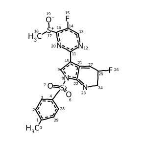 Cc1ccc(S(=O)(=O)n2cc(-c3ncc(F)c([S+](C)[O-])n3)c3c2=NCC(F)C=3)cc1